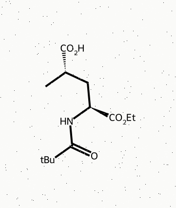 CCOC(=O)[C@H](C[C@H](C)C(=O)O)NC(=O)C(C)(C)C